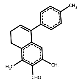 Cc1ccc(C2=CCCc3c2cc(C)c(C=O)c3C)cc1